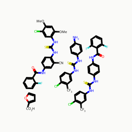 COc1cc(OC)c(NC(=S)Nc2ccc(NC(=O)c3ccccc3F)cc2C#N)cc1Cl.Nc1ccc(NC(=S)Nc2ccc(Cl)c(C(F)(F)F)c2)cc1.O=C(Nc1ccc(NC(=S)Nc2ccc(Cl)c(C(F)(F)F)c2)cc1)c1c(F)cccc1F.O=C(O)c1ccco1